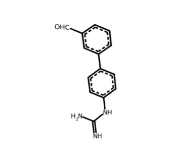 N=C(N)Nc1ccc(-c2cccc(C=O)c2)cc1